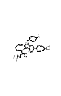 NC(=O)c1cccc2c1c1[c]cc(-c3ccc(Cl)cc3)cc1n2Cc1ccc(I)cc1